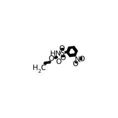 C=CCOC(=O)NS(=O)(=O)c1cccc([N+](=O)[O-])c1